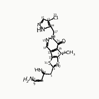 Cn1c2nc(CC(=N)/C=C\N)sc2c2cnn(Cc3[nH]ncc3Cl)c(=O)c21